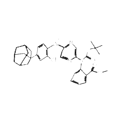 COC(=O)c1ccccc1N(C(=O)OC(C)(C)C)c1cnc(Nc2ccc(C34CC5CC(CC(C5)C3)C4)cc2Cl)cn1